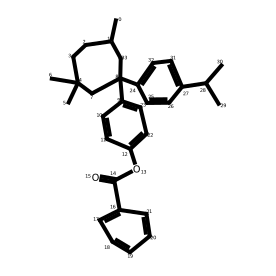 CC1CCC(C)(C)CC(c2ccc(OC(=O)c3ccccc3)cc2)(c2ccc(C(C)C)cc2)C1